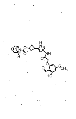 COc1cc(O)c(C=O)c(OCC(=O)Nc2cc(C3CC(OC(=O)N4C5COC[C@@H]4C5)C3)[nH]n2)c1